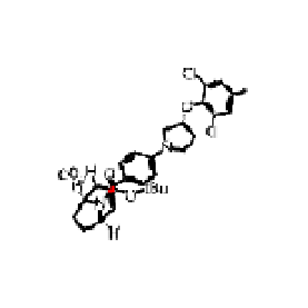 Cc1cc(Cl)c(O[C@@H]2CCN(c3ccc(C4=C[C@H]5CC[C@@H](C4C(=O)O)N5C(=O)OC(C)(C)C)cc3)C2)c(Cl)c1